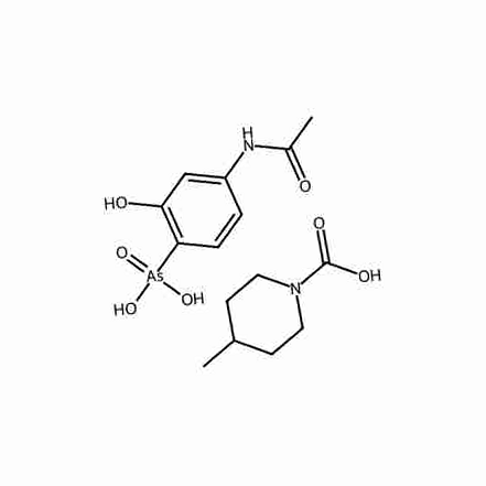 CC(=O)Nc1ccc([As](=O)(O)O)c(O)c1.CC1CCN(C(=O)O)CC1